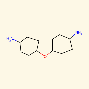 NC1CCC(OC2CCC(N)CC2)CC1